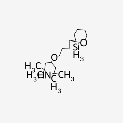 CC1(C)CC(OCCCCC2([SiH3])CCCCO2)CC(C)(C)N1